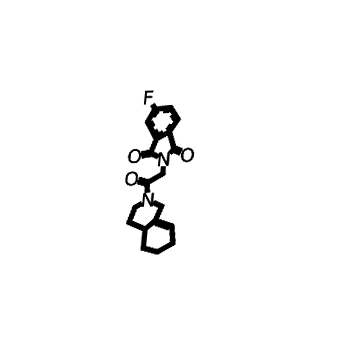 O=C(CN1C(=O)c2ccc(F)cc2C1=O)N1CCC2CCCC=C2C1